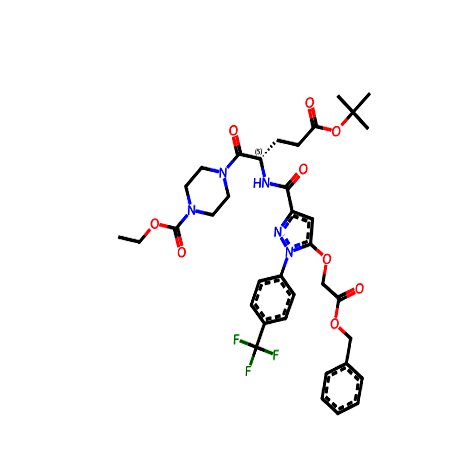 CCOC(=O)N1CCN(C(=O)[C@H](CCC(=O)OC(C)(C)C)NC(=O)c2cc(OCC(=O)OCc3ccccc3)n(-c3ccc(C(F)(F)F)cc3)n2)CC1